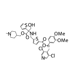 COc1ccc([C@H](Cc2c(Cl)cncc2Cl)OC(=O)c2ccc(CNC(CO)(C(=O)OCC3CCN(C)CC3)c3cccs3)s2)cc1OC